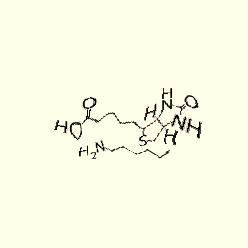 CCCCCCN.O=C(O)CCCC[C@@H]1SC[C@@H]2NC(=O)N[C@@H]21